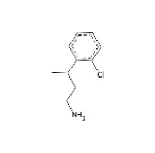 CC(CCN)c1ccccc1Cl